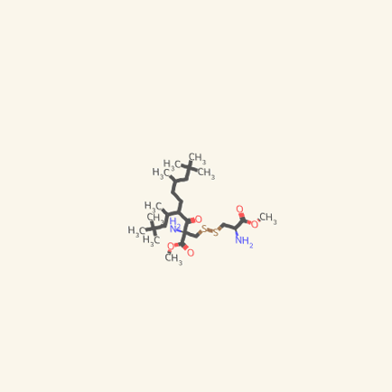 COC(=O)[C@@H](N)CSSC[C@](N)(C(=O)OC)C(=O)C(CCC(C)CC(C)(C)C)C(C)CC(C)(C)C